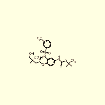 CC(C)(OC(=O)Nc1ccc2c(c1)N(S(=O)(=O)c1cccc(C(F)(F)F)c1)C[C@H](C[C@@](C)(CO)C(=O)O)O2)C(F)(F)F